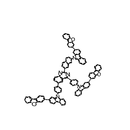 c1ccc2c(c1)oc1cc(-c3ccc4c5ccccc5n(-c5ccc(-c6ccc7nc(-c8ccc9ccc(-n%10c%11ccccc%11c%11ccc(-c%12ccc%13c(c%12)oc%12ccccc%12%13)cc%11%10)cc9c8)nc(-c8ccc(-n9c%10ccccc%10c%10ccc(-c%11ccc%12c(c%11)oc%11ccccc%11%12)cc%109)cc8)c7c6)cc5)c4c3)ccc12